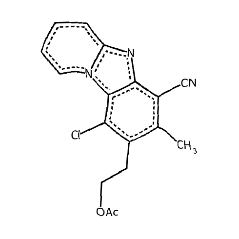 CC(=O)OCCc1c(C)c(C#N)c2nc3ccccn3c2c1Cl